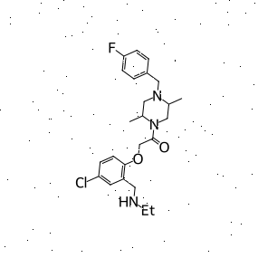 CCNCc1cc(Cl)ccc1OCC(=O)N1CC(C)N(Cc2ccc(F)cc2)CC1C